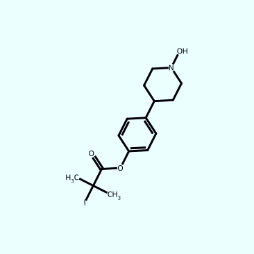 CC(C)(I)C(=O)Oc1ccc(C2CCN(O)CC2)cc1